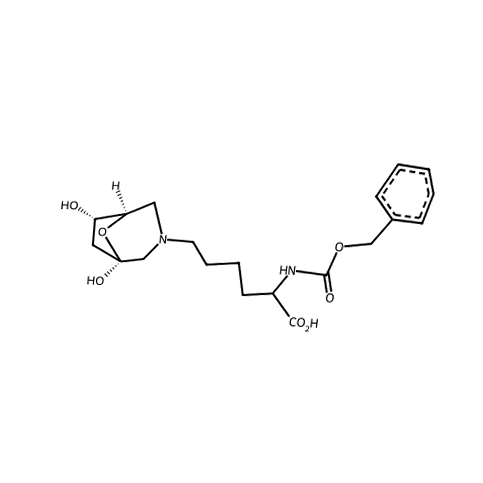 O=C(NC(CCCCN1C[C@H]2O[C@](O)(C[C@@H]2O)C1)C(=O)O)OCc1ccccc1